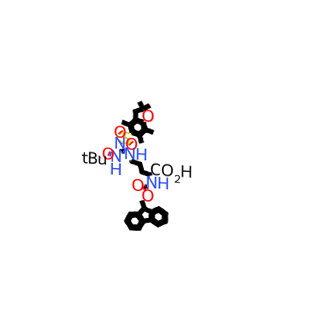 Cc1c(C)c(S(=O)(=O)/N=C(\NCCC[C@H](NC(=O)OCC2c3ccccc3-c3ccccc32)C(=O)O)NOC(C)(C)C)c(C)c2c1OC(C)(C)C2